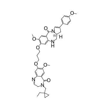 CCC1(CN2CC=Nc3cc(OCCCOc4cc5c(cc4OC)C(=O)N4C=C(c6ccc(OC)cc6)C[C@H]4CN5)c(OC)cc3C2=O)CC1